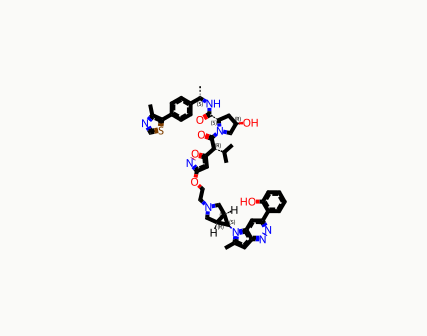 Cc1ncsc1-c1ccc([C@H](C)NC(=O)[C@@H]2C[C@@H](O)CN2C(=O)[C@@H](c2cc(OCCN3C[C@@H]4[C@H](C3)[C@H]4n3c(C)cc4nnc(-c5ccccc5O)cc43)no2)C(C)C)cc1